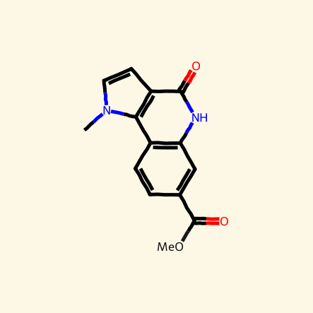 COC(=O)c1ccc2c(c1)[nH]c(=O)c1ccn(C)c12